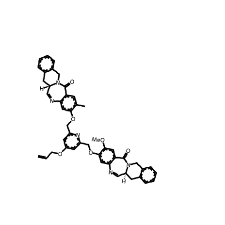 C=CCOc1cc(COc2cc3c(cc2C)C(=O)N2Cc4ccccc4C[C@H]2C=N3)nc(COc2cc3c(cc2OC)C(=O)N2Cc4ccccc4C[C@H]2C=N3)c1